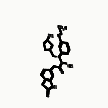 CN(C(=O)Cc1ccc2c(c1)NC(=O)C2)[C@H](CN1CCC(O)C1)c1cccc(OCC(=O)O)c1.Cl